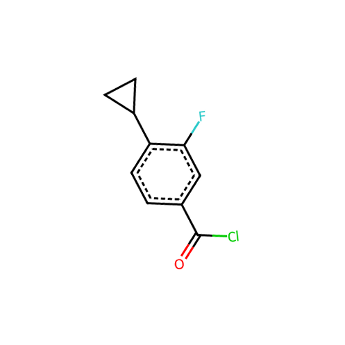 O=C(Cl)c1ccc(C2CC2)c(F)c1